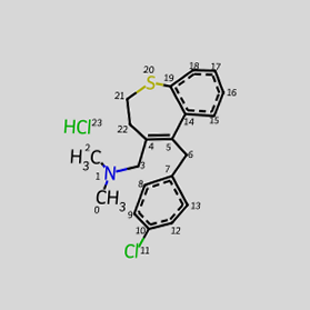 CN(C)CC1=C(Cc2ccc(Cl)cc2)c2ccccc2SCC1.Cl